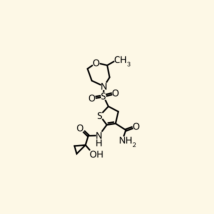 CC1CN(S(=O)(=O)C2CC(C(N)=O)=C(NC(=O)C3(O)CC3)S2)CCO1